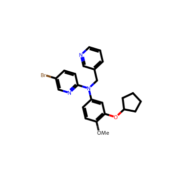 COc1ccc(N(Cc2cccnc2)c2ccc(Br)cn2)cc1OC1CCCC1